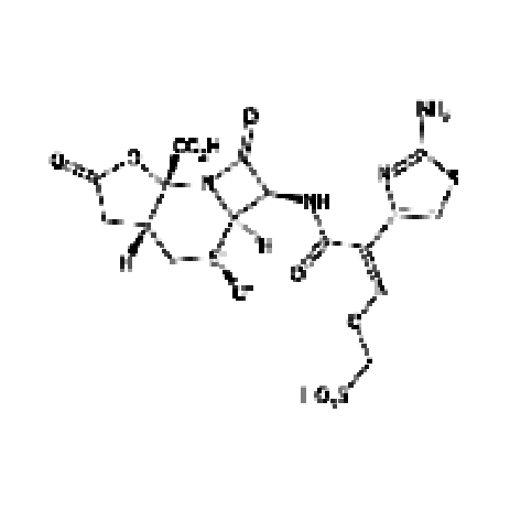 Nc1nc(/C(=N/OCS(=O)(=O)O)C(=O)N[C@@H]2C(=O)N3[C@@H]2[S@@+]([O-])C[C@@H]2CC(=O)O[C@@]23C(=O)O)cs1